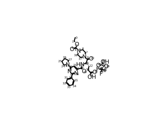 CCOC(=O)N1CCN(C(=O)[C@H](CCC(=O)O)NC(=O)c2cc(N3CCCC3)nc(-c3ccccc3)n2)CC1.O=S(=O)(O)C(F)(F)F